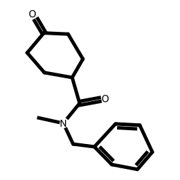 CN(Cc1ccccc1)C(=O)C1CCC(=O)CC1